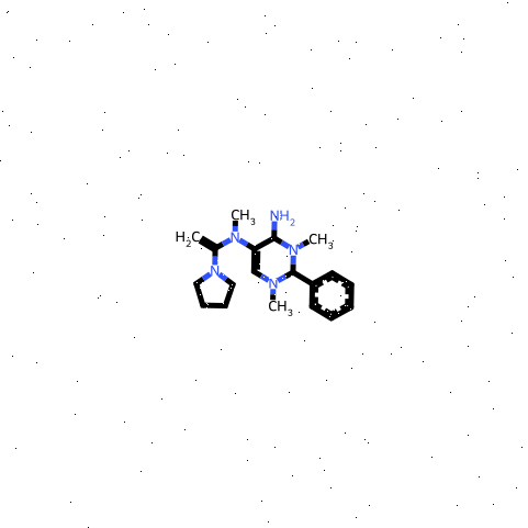 C=C(N1CCCC1)N(C)C1=CN(C)C(c2ccccc2)N(C)C1N